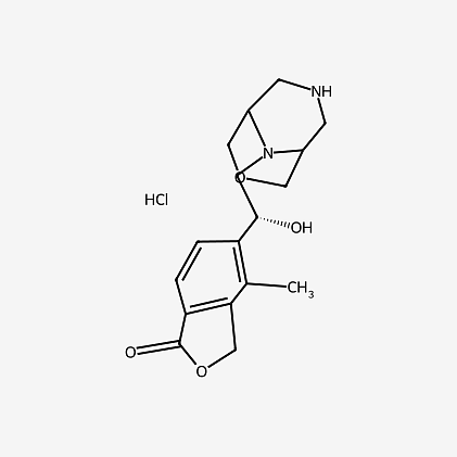 Cc1c([C@@H](O)CN2C3CNCC2COC3)ccc2c1COC2=O.Cl